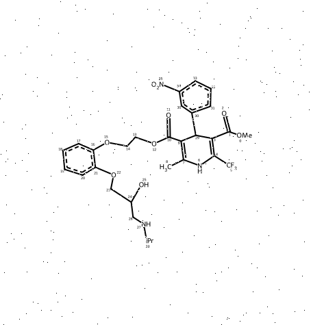 COC(=O)C1=C(C(F)(F)F)NC(C)=C(C(=O)OCCOc2ccccc2OCC(O)CNC(C)C)C1c1cccc([N+](=O)[O-])c1